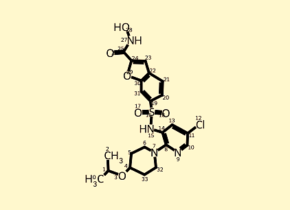 CC(C)OC1CCN(c2ncc(Cl)cc2NS(=O)(=O)c2ccc3cc(C(=O)NO)oc3c2)CC1